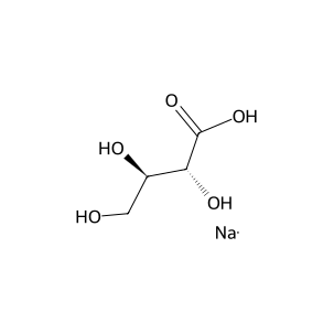 O=C(O)[C@H](O)[C@H](O)CO.[Na]